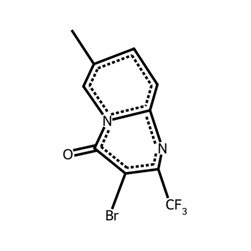 Cc1ccc2nc(C(F)(F)F)c(Br)c(=O)n2c1